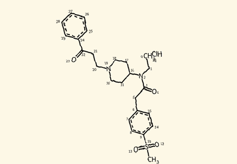 CCN(C(=O)Cc1ccc(S(C)(=O)=O)cc1)C1CCN(CCC(=O)c2ccccc2)CC1.Cl